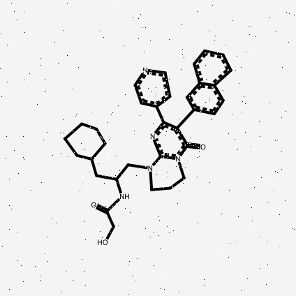 O=C(CO)NC(CC1CCCCC1)CN1CCCn2c1nc(-c1ccncc1)c(-c1ccc3ccccc3c1)c2=O